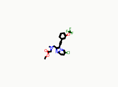 CCOC(=O)CN(C)Cc1nc2ccc(Cl)cn2c1C#Cc1cccc(OC(F)(F)F)c1